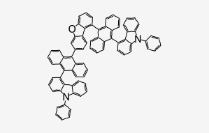 c1ccc(-n2c3ccccc3c3c(-c4c5ccccc5c(-c5ccc6c(c5)oc5cccc(-c7c8ccccc8c(-c8cccc9c8c8ccccc8n9-c8ccccc8)c8ccccc78)c56)c5ccccc45)cccc32)cc1